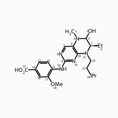 CC[C@@H]1C(O)N(C)c2cnc(Nc3ccc(C(=O)O)cc3OC)nc2N1CCC(C)C